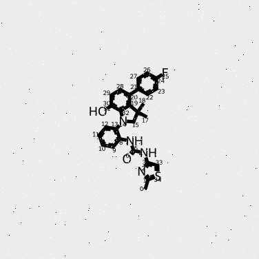 Cc1nc(NC(=O)Nc2ccccc2N2CC(C)(C)c3c(-c4ccc(F)cc4)ccc(O)c32)cs1